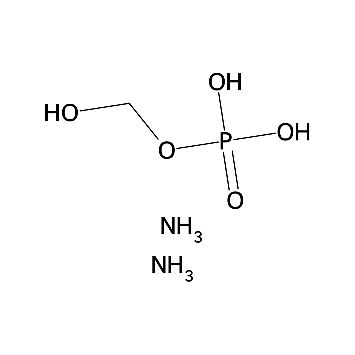 N.N.O=P(O)(O)OCO